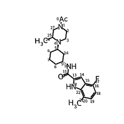 CC(=O)N1CCN([C@@H]2CCC[C@@H](NC(=O)c3cc4c(F)ccc(C)c4[nH]3)C2)C(C)C1